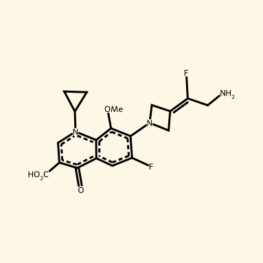 COc1c(N2CC(=C(F)CN)C2)c(F)cc2c(=O)c(C(=O)O)cn(C3CC3)c12